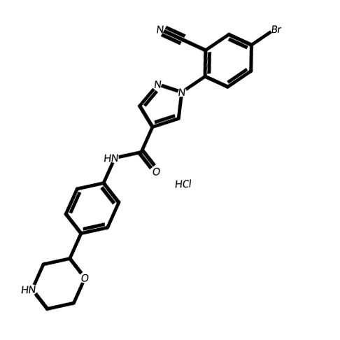 Cl.N#Cc1cc(Br)ccc1-n1cc(C(=O)Nc2ccc(C3CNCCO3)cc2)cn1